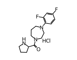 Cl.O=C(C1CCCN1)N1CCCN(c2ccc(F)cc2F)CC1